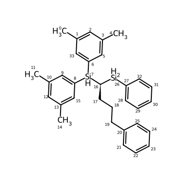 Cc1cc(C)cc([SiH](c2cc(C)cc(C)c2)[C@H](CCCc2ccccc2)[SiH2]c2ccccc2)c1